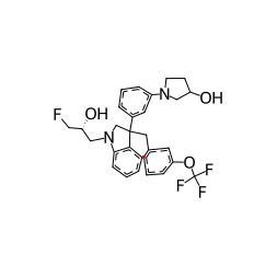 OC1CCN(c2cccc(C3(Cc4cccc(OC(F)(F)F)c4)CN(C[C@@H](O)CF)c4ccccc43)c2)C1